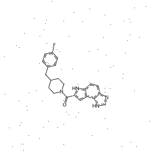 O=C(c1cc2c(ccc3nc[nH]c32)[nH]1)N1CCC(Cc2ccc(F)cc2)CC1